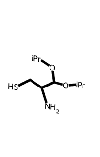 CC(C)OC(OC(C)C)C(N)CS